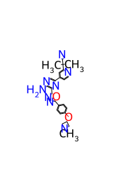 CN1CC(Oc2ccc(-c3nnc(-c4nc(-c5ccnc(C(C)(C)C#N)c5)cnc4N)o3)cc2)C1